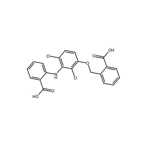 O=C(O)c1ccccc1COc1ccc(Cl)c(Nc2ccccc2C(=O)O)c1Cl